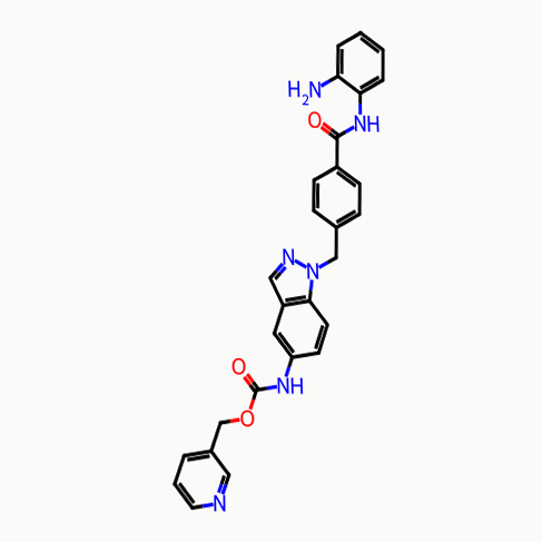 Nc1ccccc1NC(=O)c1ccc(Cn2ncc3cc(NC(=O)OCc4cccnc4)ccc32)cc1